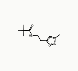 Cc1cc(CCNC(=O)C(C)(C)C)on1